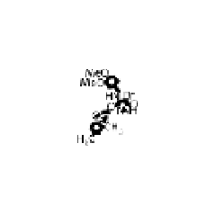 COc1ccc(CNc2c(OCCS(=O)(=O)c3ccc(C)cc3C)n[nH]c(=O)c2Br)cc1OC